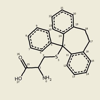 NC(CSC1(c2ccccc2)c2ccccc2CCc2ccccc21)C(=O)O